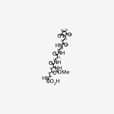 COC(=O)NC(CCCCNC(=O)O)C(=O)NCCC(=O)NCCNC(=O)CCN1C(=O)C=CC1=O